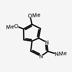 CNc1ncc2cc(OC)c(OC)cc2n1